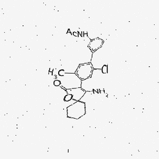 CC(=O)Nc1cccc(-c2cc(C)c(C3=C(N)C4(CCCCC4)OC3=O)cc2Cl)c1